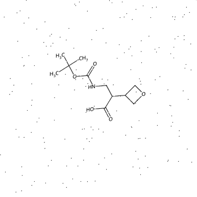 CC(C)(C)OC(=O)NCC(C(=O)O)C1COC1